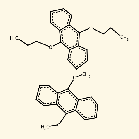 CCCOc1c2ccccc2c(OCCC)c2ccccc12.COc1c2ccccc2c(OC)c2ccccc12